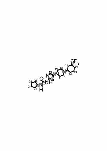 O=C(Nc1nnc(N2CCN(C3CCCC(C(F)(F)F)C3)CC2)s1)NC1CCCC1